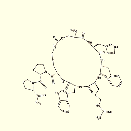 CC(=O)N[C@H]1CCC(=O)NCCC[C@@H](C(=O)N2CCC[C@H]2C(=O)N2CCC[C@H]2C(N)=O)NC(=O)[C@H](Cc2c[nH]c3ccccc23)NC(=O)[C@H](CCCNC(=N)N)NC(=O)[C@@H](Cc2ccccc2)NC(=O)[C@H](Cc2c[nH]cn2)NC1=O